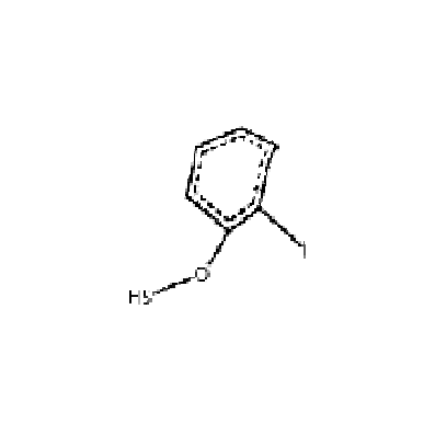 SOc1ccccc1I